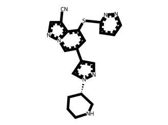 N#Cc1cnn2cc(-c3cnn([C@H]4CCCNC4)c3)cc(Sc3cccnn3)c12